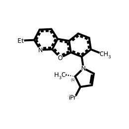 CCc1ccc2c(n1)oc1c(N3C=CC(C(C)C)[C@@H]3C)c(C)ccc12